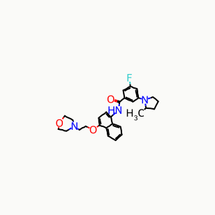 CC1CCCN1c1cc(F)cc(C(=O)Nc2ccc(OCCN3CCOCC3)c3ccccc23)c1